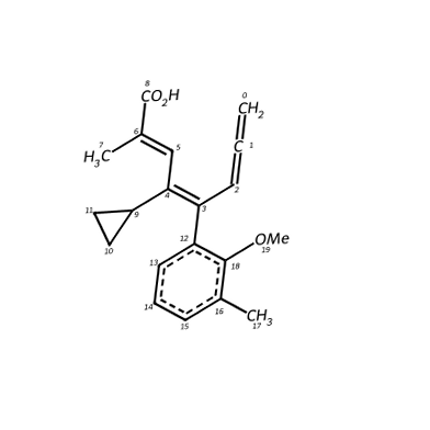 C=C=C/C(=C(\C=C(/C)C(=O)O)C1CC1)c1cccc(C)c1OC